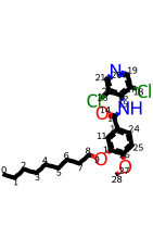 CCCCCCCCCOc1cc(C(=O)Nc2c(Cl)cncc2Cl)ccc1OC